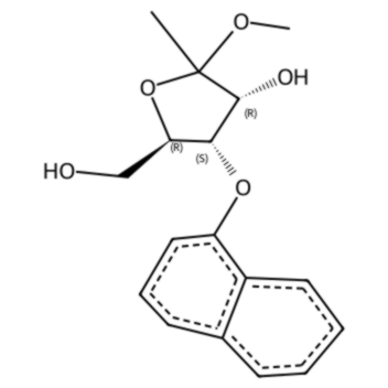 COC1(C)O[C@H](CO)[C@@H](Oc2cccc3ccccc23)[C@H]1O